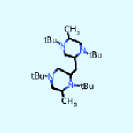 CC1CN(C(C)(C)C)C(CC2CN(C(C)(C)C)CC(C)N2C(C)(C)C)CN1C(C)(C)C